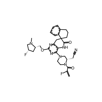 C=C(F)C(=O)N1CCN(c2nc(OC[C@@H]3C[C@H](F)CN3C)nc3c2NC(=O)C2(CCCc4ccccc42)C3)C[C@@H]1CC#N